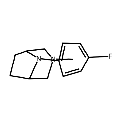 CN1CC2CCC(C1)N2c1ccc(F)cc1